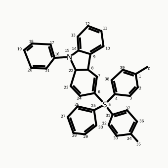 Cc1ccc(S(C2=CC3c4ccccc4N(c4ccccc4)C3C=C2)(c2ccccc2)c2ccc(C)cc2)cc1